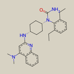 CCc1cccc(CC)c1N(C(N)=O)[C@H]1CC[C@@H](Nc2cc(N(C)C)c3ccccc3n2)CC1